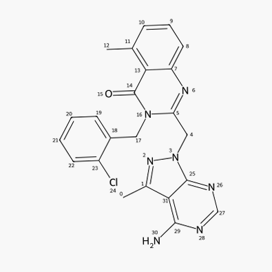 Cc1nn(Cc2nc3cccc(C)c3c(=O)n2Cc2ccccc2Cl)c2ncnc(N)c12